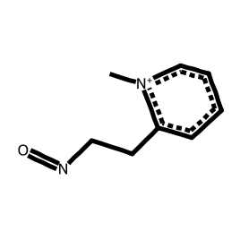 C[n+]1ccccc1CCN=O